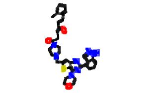 Cc1ccccc1C=CC(=O)CCC(=O)N1CCN(Cc2cc3nc(-c4cccc5[nH]ncc45)nc(N4CCOCC4)c3s2)CC1